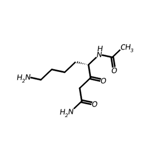 CC(=O)N[C@@H](CCCCN)C(=O)CC(N)=O